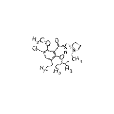 CCc1cc(Cl)c(OC)c(C(=O)NC[C@@H]2CCCN2CC)c1OC(C)C